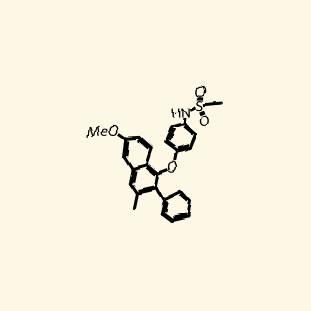 COc1ccc2c(Oc3ccc(NS(C)(=O)=O)cc3)c(-c3ccccc3)c(C)cc2c1